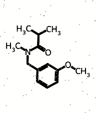 COc1cccc(CN(C)C(=O)C(C)C)c1